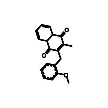 COc1ccccc1CC1=C(C)C(=O)C2C=CC=CC2C1=O